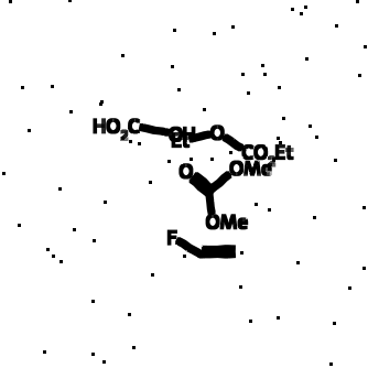 C=CF.CCOC(=O)OCC.COC(=O)OC.O=C(O)O